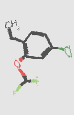 CCc1ccc(Cl)cc1OC(F)F